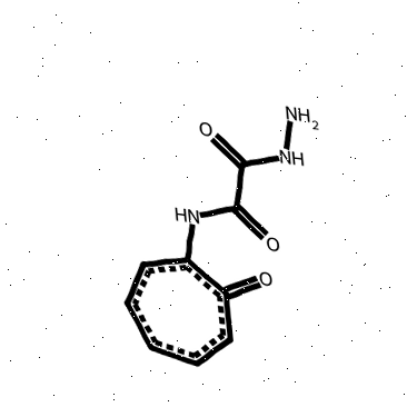 NNC(=O)C(=O)Nc1cccccc1=O